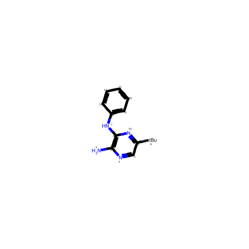 CC(C)(C)c1cnc(N)c(Nc2ccccc2)n1